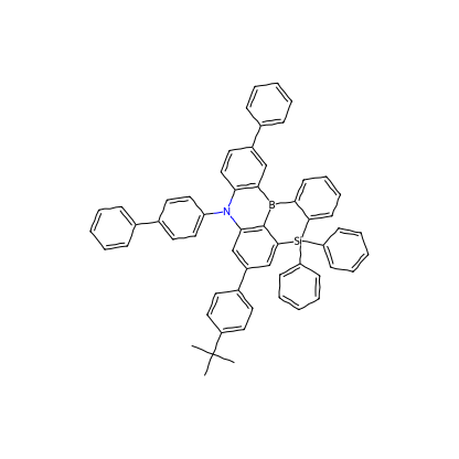 CC(C)(C)c1ccc(-c2cc3c4c(c2)[Si](c2ccccc2)(c2ccccc2)c2ccccc2B4c2cc(-c4ccccc4)ccc2N3c2ccc(-c3ccccc3)cc2)cc1